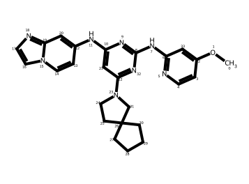 COc1ccnc(Nc2nc(Nc3ccn4ccnc4c3)cc(N3CCC4(CCCC4)C3)n2)c1